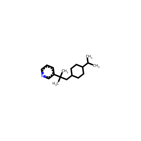 CC(C)C1CCC(CC(C)(C)c2cccnc2)CC1